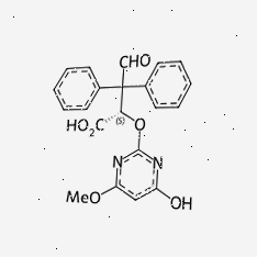 COc1cc(O)nc(O[C@H](C(=O)O)C(C=O)(c2ccccc2)c2ccccc2)n1